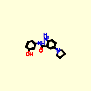 Nc1ccc(N2CCCC2)cc1C(=O)Nc1cccc(O)c1